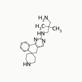 CC(C)(CN)CNc1ncc2c(n1)-c1ccccc1C1(CCNCC1)C2